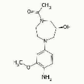 COc1cc(N2CCN(C(C)=O)C[C@@H](O)C2)ccc1N